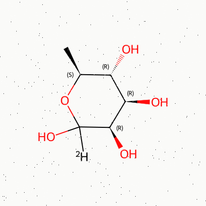 [2H]C1(O)O[C@@H](C)[C@H](O)[C@@H](O)[C@H]1O